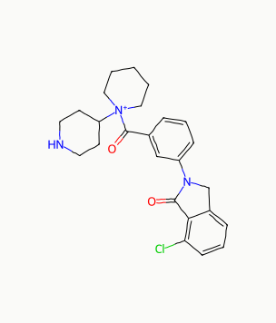 O=C1c2c(Cl)cccc2CN1c1cccc(C(=O)[N+]2(C3CCNCC3)CCCCC2)c1